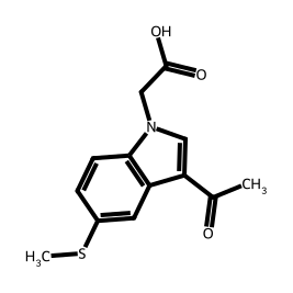 CSc1ccc2c(c1)c(C(C)=O)cn2CC(=O)O